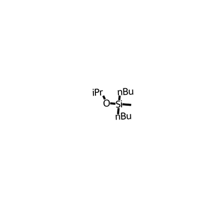 CCCC[Si](C)(CCCC)OC(C)C